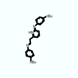 CCCCc1ccc(N=CCc2cccc(=Nc3ccc(CCCC)cc3)[nH]2)cc1